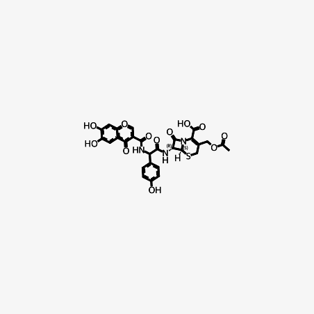 CC(=O)OCC1=C(C(=O)O)N2C(=O)[C@@H](NC(=O)C(NC(=O)c3coc4cc(O)c(O)cc4c3=O)c3ccc(O)cc3)[C@@H]2SC1